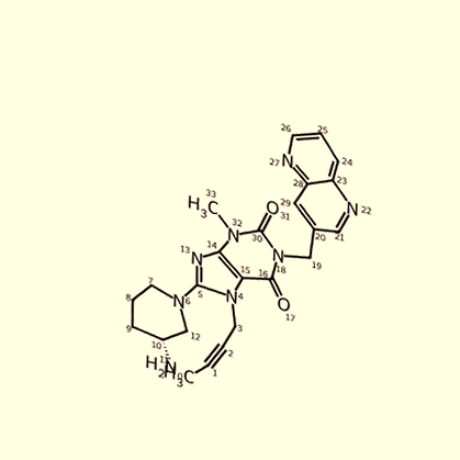 CC#CCn1c(N2CCC[C@@H](N)C2)nc2c1c(=O)n(Cc1cnc3cccnc3c1)c(=O)n2C